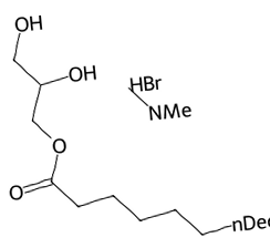 Br.CCCCCCCCCCCCCCCC(=O)OCC(O)CO.CNC